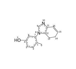 Cc1ccc(O)cc1-n1cnc2c1CCC=C2